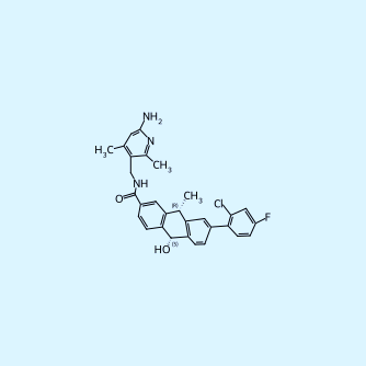 Cc1cc(N)nc(C)c1CNC(=O)c1ccc2c(c1)[C@H](C)c1cc(-c3ccc(F)cc3Cl)ccc1[C@@H]2O